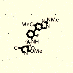 CNc1ncc2cc(-c3cccc(NS(=O)(=O)c4cc(Cl)cnc4OC)c3F)c(OC)cc2n1